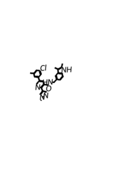 Cc1cc(Cl)cc(-c2cnc(-c3cnn(C)c3)c(C(=O)NCc3ccc4[nH]c(C)c(C)c4c3)c2)c1